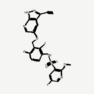 C#Cc1n[nH]c2ncc(OCc3c(F)ccc(NS(=O)(=O)c4cc(F)cnc4OC)c3F)cc12